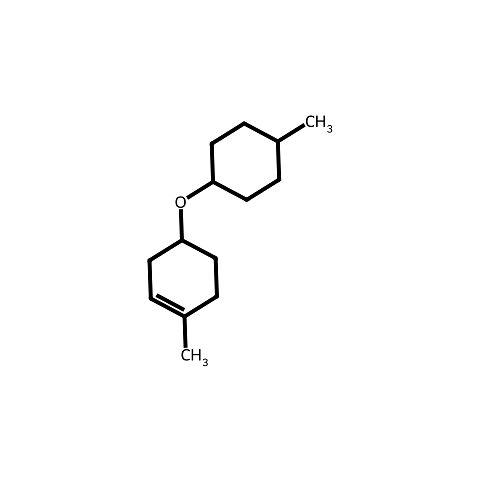 CC1=CCC(OC2CCC(C)CC2)CC1